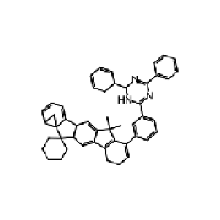 CC1(C)C2=CC3C4=CC=CC5CC45C4(CCCCC4)C3C=C2C2=C1C(c1cccc(C3=NC(c4ccccc4)=NC(C4C=CC=CC4)N3)c1)=CCC2